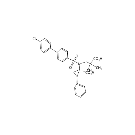 CC(C)(CN([C@]1(C(=O)O)C[C@H]1c1ccccc1)S(=O)(=O)c1ccc(-c2ccc(Cl)cc2)cc1)C(=O)O